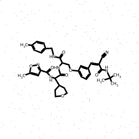 Cc1ccc(CNC(=O)C(COc2cccc(C=C(C#N)C(=O)NC(C)(C)C)c2)NC(=O)C(NC(=O)c2cc(C)on2)C2CCOCC2)cc1